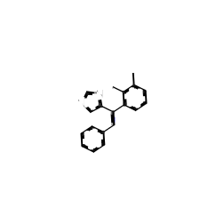 Cc1cccc(/C(=C/c2ccccc2)c2cnc[nH]2)c1C